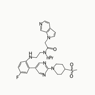 CCCN(CCNc1ccc(F)cc1-c1cnc(N2CCC(S(C)(=O)=O)CC2)nc1)C(=O)Cn1ccc2ccncc21